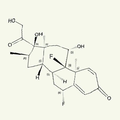 C[C@@H]1C[C@H]2[C@@H]3C[C@@H](F)C4=CC(=O)C=C[C@]4(C)[C@@]3(F)[C@@H](O)C[C@]2(C)[C@@]1(O)C(=O)CO